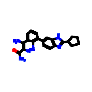 NC(=O)c1nnc2c(-c3ccc4nc(C5CCCC5)[nH]c4c3)cccc2c1N